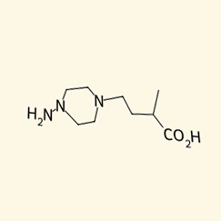 CC(CCN1CCN(N)CC1)C(=O)O